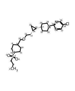 CCCS(=O)(=O)N1CCC(COCC[C@@H]2C[C@@H]2C2CCN(c3ncc(Cl)cn3)CC2)CC1